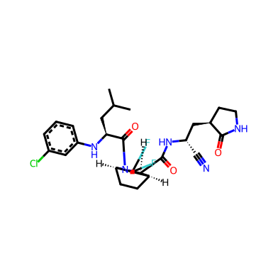 CC(C)C[C@H](Nc1cccc(Cl)c1)C(=O)N1[C@@H]2CC[C@H]([C@@H]1C(=O)N[C@@H](C#N)C[C@H]1CCNC1=O)C(F)(F)C2